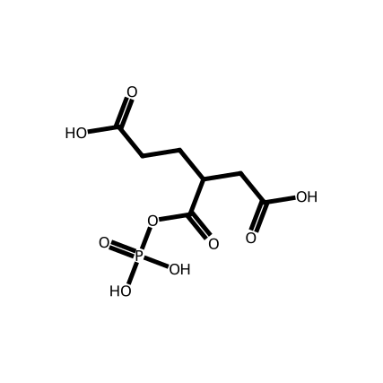 O=C(O)CCC(CC(=O)O)C(=O)OP(=O)(O)O